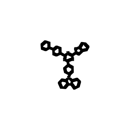 c1ccc(-c2ccc(-c3nc(-c4ccc(-n5c6ccccc6c6ccccc65)cc4)nc(-c4cc5ccccc5o4)n3)cc2)cc1